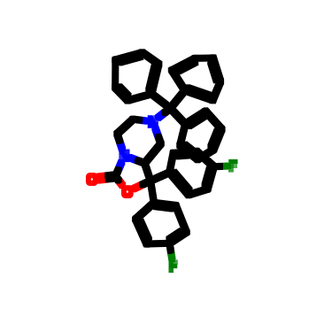 O=C1OC(c2ccc(F)cc2)(c2ccc(F)cc2)C2CN(C(c3ccccc3)(c3ccccc3)c3ccccc3)CCN12